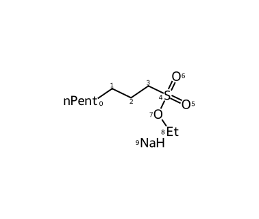 CCCCCCCCS(=O)(=O)OCC.[NaH]